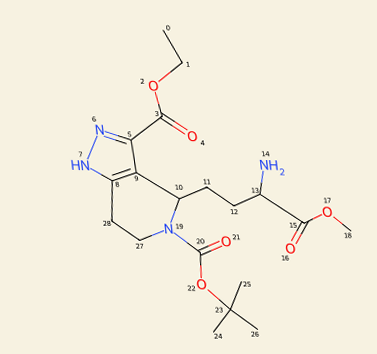 CCOC(=O)c1n[nH]c2c1C(CCC(N)C(=O)OC)N(C(=O)OC(C)(C)C)CC2